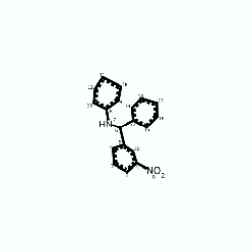 O=[N+]([O-])c1cccc([C](Nc2ccccc2)c2ccccc2)c1